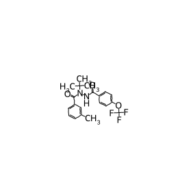 Cc1cccc(C(=O)N(NC(=O)c2ccc(OC(F)(F)F)cc2)C(C)(C)C)c1